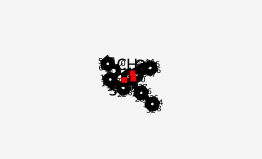 C[C@@H](c1ccccc1)[C@@H](c1ccccc1)c1cccc2sc3ccc(N(c4ccc(-c5ccccc5)cc4)c4ccc5oc6ccccc6c5c4)cc3c12